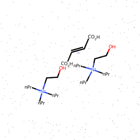 CCC[N+](CCC)(CCC)CCO.CCC[N+](CCC)(CCC)CCO.O=C(O)/C=C/C(=O)O